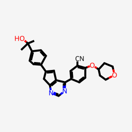 CC(C)(O)c1ccc(C2=Cc3c(ncnc3-c3ccc(OC4CCOCC4)c(C#N)c3)C2)cc1